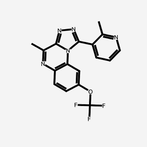 Cc1ncccc1-c1nnc2c(C)nc3ccc(OC(F)(F)F)cc3n12